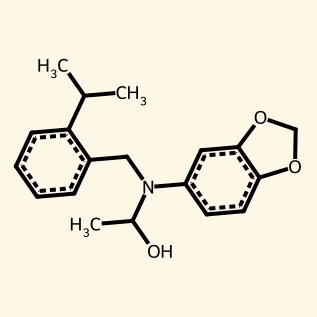 CC(C)c1ccccc1CN(c1ccc2c(c1)OCO2)C(C)O